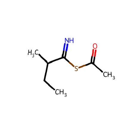 CCC(C)C(=N)SC(C)=O